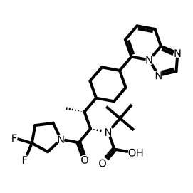 C[C@H](C1CCC(c2cccc3ncnn23)CC1)[C@@H](C(=O)N1CCC(F)(F)C1)N(C(=O)O)C(C)(C)C